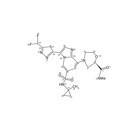 CNC(=O)[C@H]1CN(c2cc(S(=O)(=O)NC3(C)CC3)cn3c(-c4nnc(C(F)F)s4)cnc23)CCO1